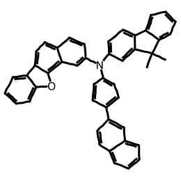 CC1(C)c2ccccc2-c2ccc(N(c3ccc(-c4ccc5ccccc5c4)cc3)c3ccc4ccc5c6ccccc6oc5c4c3)cc21